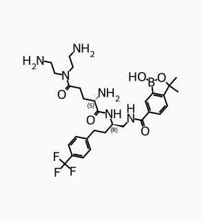 CC1(C)OB(O)c2cc(C(=O)NC[C@@H](CCc3ccc(C(F)(F)F)cc3)NC(=O)[C@@H](N)CCC(=O)N(CCN)CCN)ccc21